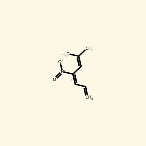 C=C/C=C(\C=C(C)C)[N+](=O)[O-]